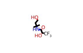 CC(C)(CCO)NC(=O)C(O)C(F)(F)F